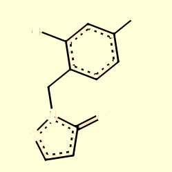 O=c1ccsn1Cc1ccc(Cl)cc1Cl